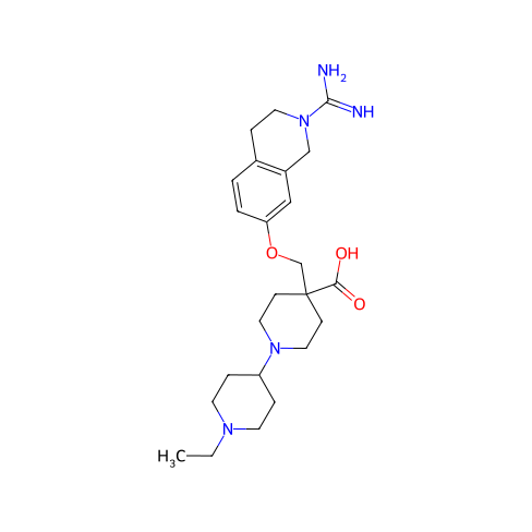 CCN1CCC(N2CCC(COc3ccc4c(c3)CN(C(=N)N)CC4)(C(=O)O)CC2)CC1